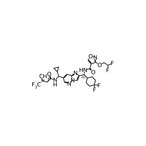 C[C@H](CC(=O)NC(c1cnn2cc([C@@H](NC(=O)c3conc3OCC(F)F)C3CCC(F)(F)CC3)nc2c1)C1CC1)C(F)(F)F